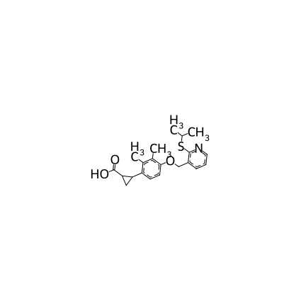 Cc1c(OCc2cccnc2SC(C)C)ccc(C2CC2C(=O)O)c1C